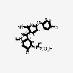 CCCc1nc(Oc2ccc(Cl)cc2)ccc1-c1nn(C)c2cc(Cl)c(O[C@@H](C)C(=O)O)cc12